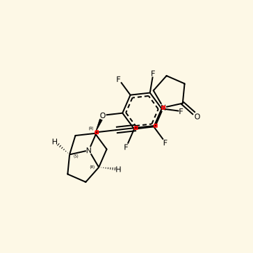 O=C1CCCN1CC#CCN1[C@@H]2CC[C@H]1C[C@@H](Oc1c(F)c(F)c(F)c(F)c1F)C2